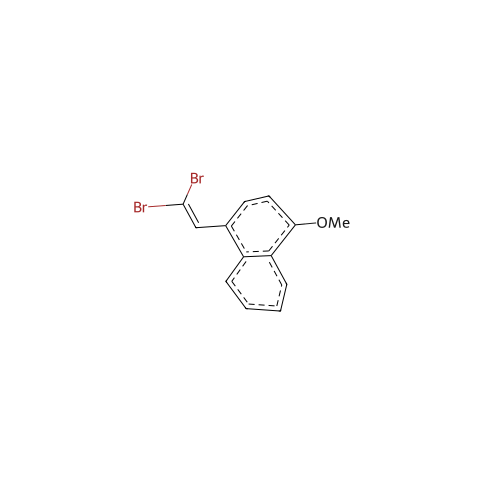 COc1ccc(C=C(Br)Br)c2ccccc12